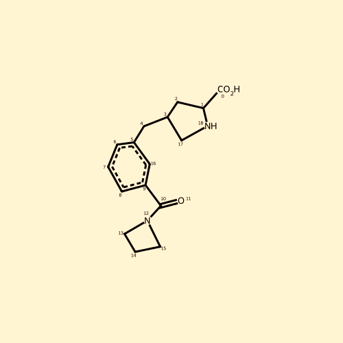 O=C(O)C1CC(Cc2cccc(C(=O)N3CCC3)c2)CN1